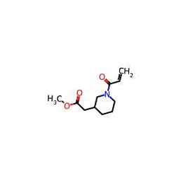 C=CC(=O)N1CCCC(CC(=O)OC)C1